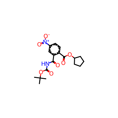 CC(C)(C)OC(=O)NC(=O)c1cc([N+](=O)[O-])ccc1C(=O)OC1CCCC1